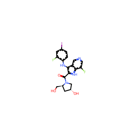 O=C(c1[nH]c2c(F)cncc2c1Nc1ccc(I)cc1F)N1C[C@H](O)C[C@H]1CO